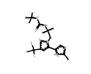 Cc1ncc(-c2cc(C(F)(F)F)nn2CC(C)(C)NC(=O)OC(C)(C)C)[nH]1